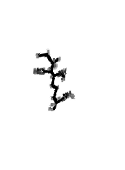 CC[C@@H](C)C(O)C(CCC[C@H](C)N)NC